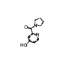 O=C(c1cc(O)ccn1)N1CCCC1